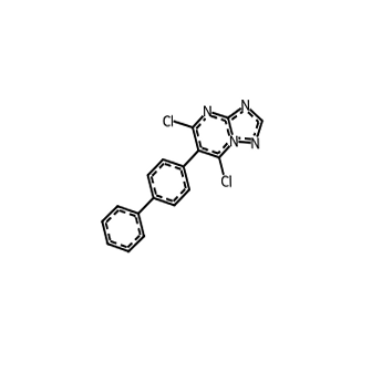 Clc1nc2ncnn2c(Cl)c1-c1ccc(-c2ccccc2)cc1